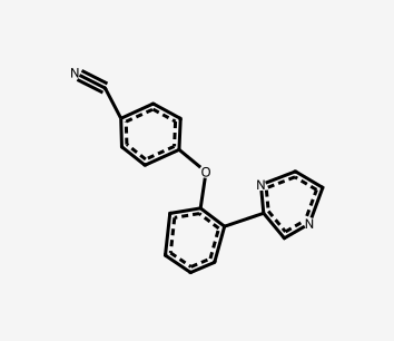 N#Cc1ccc(Oc2ccccc2-c2cnccn2)cc1